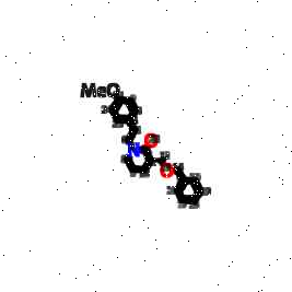 COc1ccc(CCN2CCC[C@H](COCc3ccccc3)C2=O)cc1